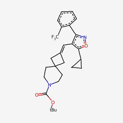 CC(C)(C)OC(=O)N1CCC2(CC1)CC(=Cc1c(-c3ccccc3C(F)(F)F)noc1C1CC1)C2